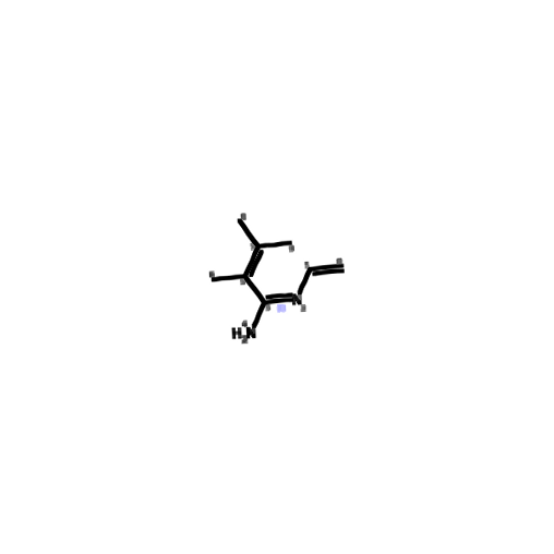 C=C/N=C(/N)C(C)=C(C)C